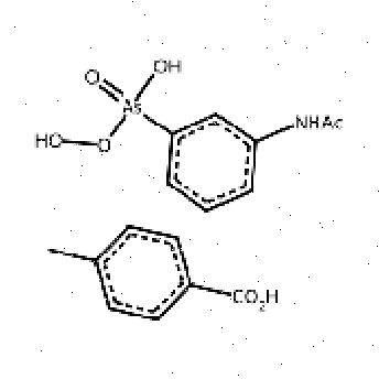 CC(=O)Nc1cccc([As](=O)(O)OO)c1.Cc1ccc(C(=O)O)cc1